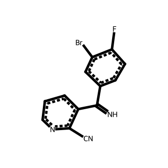 N#Cc1ncccc1C(=N)c1ccc(F)c(Br)c1